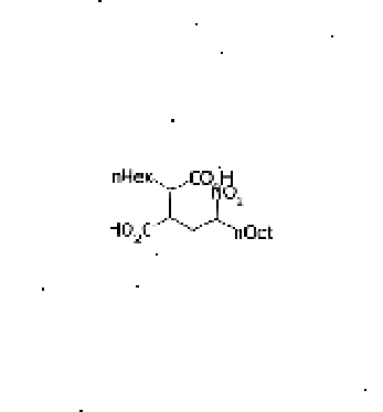 CCCCCCCCC(CC(C(=O)O)C(CCCCCC)C(=O)O)[N+](=O)[O-]